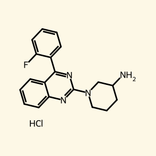 Cl.NC1CCCN(c2nc(-c3ccccc3F)c3ccccc3n2)C1